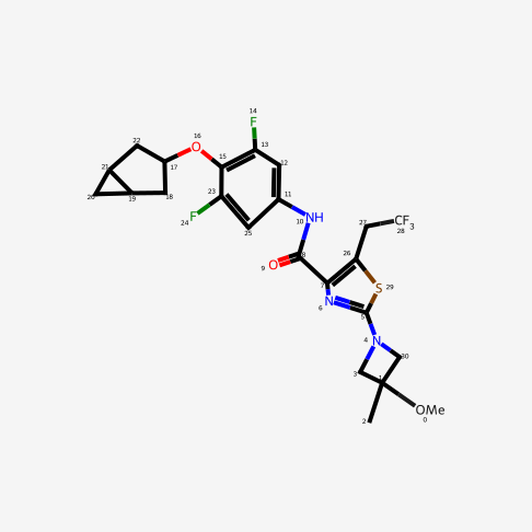 COC1(C)CN(c2nc(C(=O)Nc3cc(F)c(OC4CC5CC5C4)c(F)c3)c(CC(F)(F)F)s2)C1